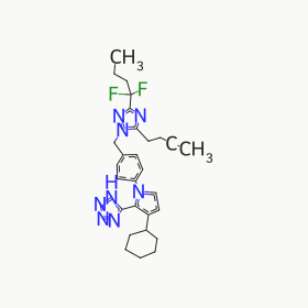 CCCCc1nc(C(F)(F)CCC)nn1Cc1ccc(-n2ccc(C3CCCCC3)c2-c2nnn[nH]2)cc1